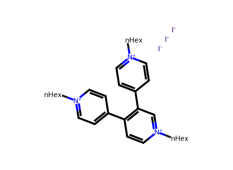 CCCCCC[n+]1ccc(-c2cc[n+](CCCCCC)cc2-c2cc[n+](CCCCCC)cc2)cc1.[I-].[I-].[I-]